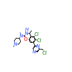 CC(NC(=O)N(C)C1CCN(C)CC1)c1ccc(-c2cncc(CCl)n2)c(Cl)c1Cl